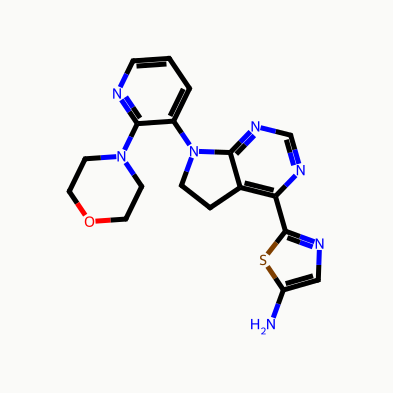 Nc1cnc(-c2ncnc3c2CCN3c2cccnc2N2CCOCC2)s1